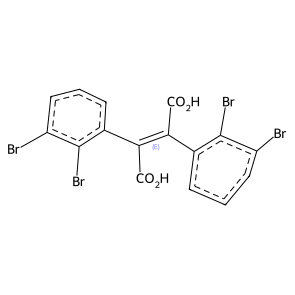 O=C(O)/C(=C(/C(=O)O)c1cccc(Br)c1Br)c1cccc(Br)c1Br